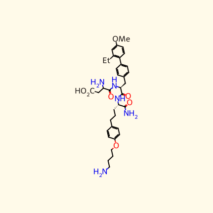 CCc1cc(OC)ccc1-c1ccc(C[C@H](NC(=O)C(N)CC(=O)O)C(=O)N[C@@H](CCCc2ccc(OCCCCN)cc2)C(N)=O)cc1